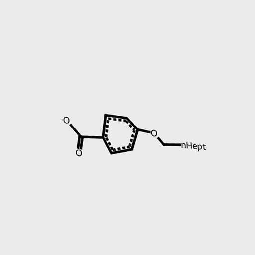 CCCCCCCCOc1ccc(C([O])=O)cc1